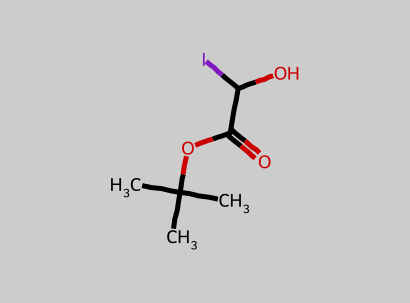 CC(C)(C)OC(=O)C(O)I